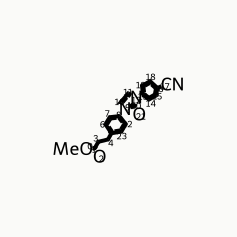 COC(=O)CCc1ccc(-n2ccn(-c3ccc(C#N)cc3)c2=O)cc1